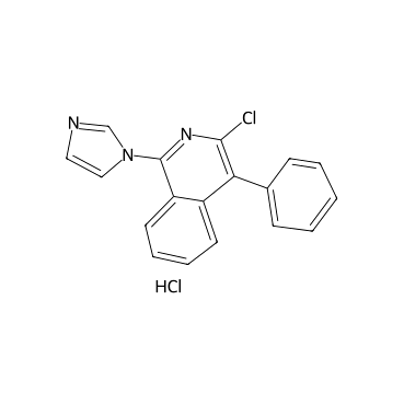 Cl.Clc1nc(-n2ccnc2)c2ccccc2c1-c1ccccc1